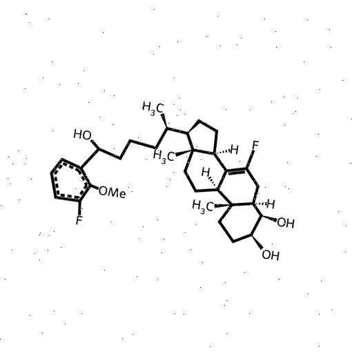 COc1c(F)cccc1C(O)CCC[C@@H](C)[C@H]1CC[C@H]2C3=C(F)C[C@H]4[C@@H](O)[C@@H](O)CC[C@]4(C)[C@H]3CC[C@]12C